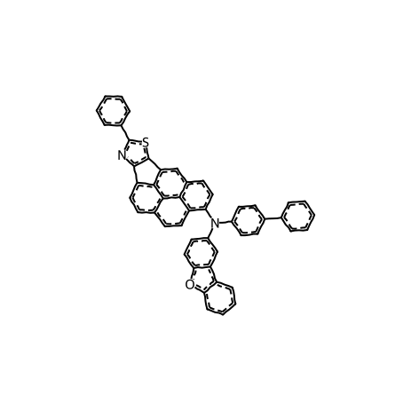 c1ccc(-c2ccc(N(c3ccc4oc5ccccc5c4c3)c3ccc4cc5c6c(ccc7ccc3c4c76)-c3nc(-c4ccccc4)sc3-5)cc2)cc1